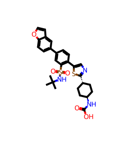 CC(C)(C)NS(=O)(=O)c1cc(-c2ccc3occc3c2)ccc1-c1cnc([C@H]2CC[C@H](NC(=O)O)CC2)s1